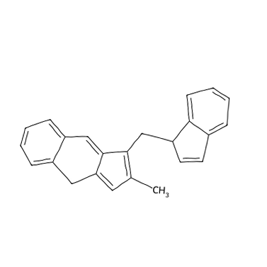 CC1=C(CC2C=Cc3ccccc32)C2=Cc3ccccc3CC2=C1